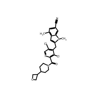 Cc1cc(C#N)cc2c1cc(Cc1c(Cl)cnc(C(=O)N3CCC(C4COC4)CC3)c1Cl)n2C